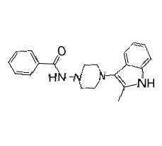 Cc1[nH]c2ccccc2c1N1CCN(NC(=O)c2ccccc2)CC1